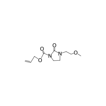 C=CCOC(=O)N1CCN(CCOC)C1=O